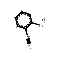 N#[N+]c1ccccc1F.[Cl-]